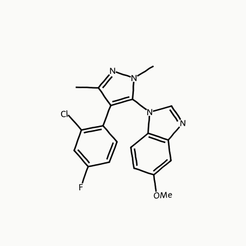 COc1ccc2c(c1)ncn2-c1c(-c2ccc(F)cc2Cl)c(C)nn1C